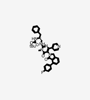 Cn1c(NC[C@H](Cc2ccccc2)NC(=O)OC(C)(C)C)nc(-c2ccncc2)c(N2Cc3cccc(-c4ccc(F)cc4)c3C2=O)c1=O